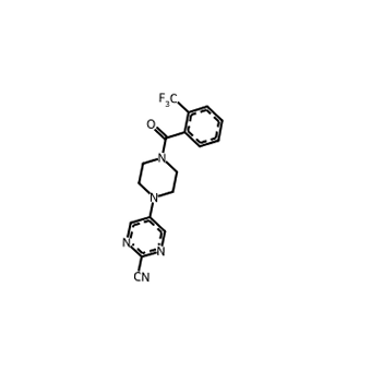 N#Cc1ncc(N2CCN(C(=O)c3ccccc3C(F)(F)F)CC2)cn1